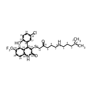 CN(C)CCCNCCCC(=O)CSc1c(-c2cc(Cl)ccc2O)c2cc(C(F)(F)F)ccc2[nH]c1=O